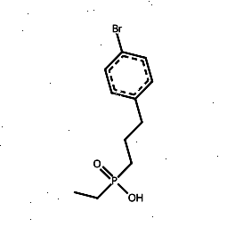 CCP(=O)(O)CCCc1ccc(Br)cc1